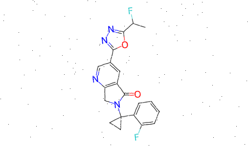 CC(F)c1nnc(-c2cnc3c(c2)C(=O)N(C2(c4ccccc4F)CC2)C3)o1